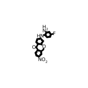 Nc1cc(F)ccc1Nc1ccc2c(c1)OCc1cc([N+](=O)[O-])ccc1C2=O